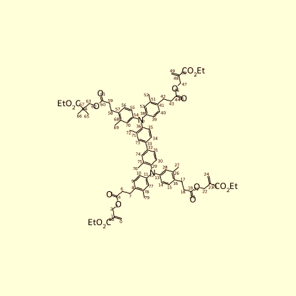 C=C(COC(=O)CCc1ccc(N(c2ccc(CCC(=O)OCC(=C)C(=O)OCC)c(C)c2)c2ccc(-c3ccc(N(c4ccc(CCC(=O)OCC(=C)C(=O)OCC)c(C)c4)c4ccc(CCC(=O)OCC(C)(C)C(=O)OCC)c(C)c4)c(C)c3)cc2C)cc1C)C(=O)OCC